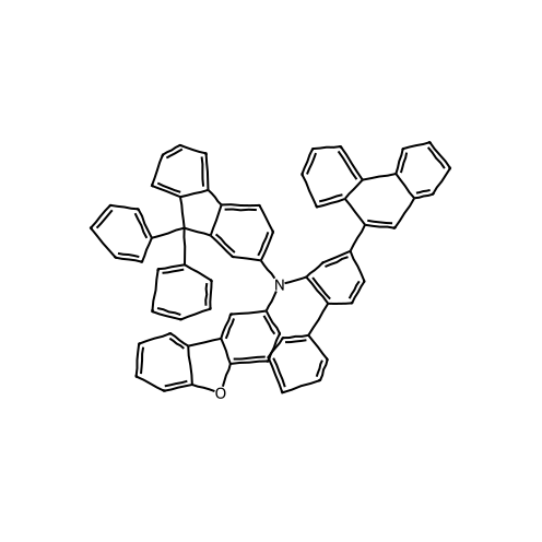 c1ccc(-c2ccc(-c3cc4ccccc4c4ccccc34)cc2N(c2ccc3c(c2)C(c2ccccc2)(c2ccccc2)c2ccccc2-3)c2ccc3oc4ccccc4c3c2)cc1